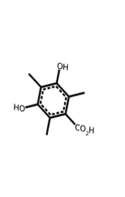 Cc1c(O)c(C)c(C(=O)O)c(C)c1O